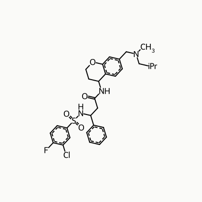 CC(C)CN(C)Cc1ccc2c(c1)OCCC2NC(=O)CC(NS(=O)(=O)c1ccc(F)c(Cl)c1)c1ccccc1